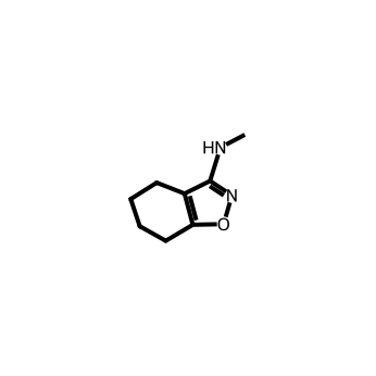 CNc1noc2c1CCCC2